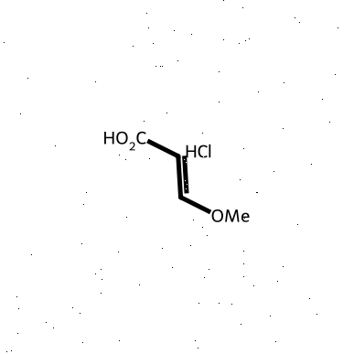 COC=CC(=O)O.Cl